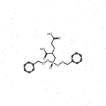 O=C(O)CCC(CP(=O)(OOCc1ccccc1)OOCc1ccccc1)C(=O)O